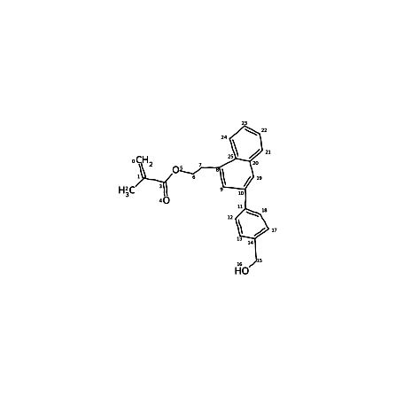 C=C(C)C(=O)OCCc1cc(-c2ccc(CO)cc2)cc2ccccc12